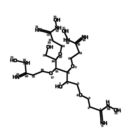 N=C(CCOCC(O)C(OCCC(=N)NO)C(OCCC(=N)NO)C(CO)OCCC(=N)NO)NO